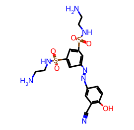 N#Cc1cc(N=Nc2cc(S(=O)(=O)NCCN)cc(S(=O)(=O)NCCN)c2)ccc1O